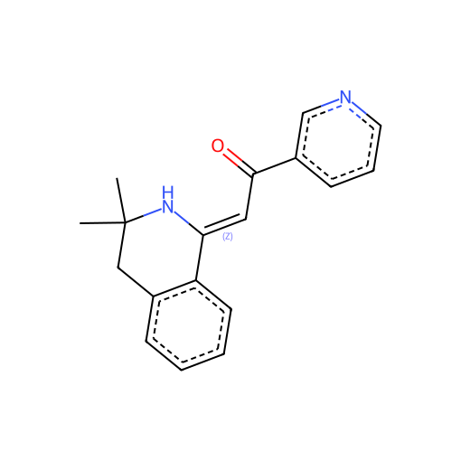 CC1(C)Cc2ccccc2/C(=C/C(=O)c2cccnc2)N1